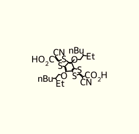 CCCCC(CC)COc1c2c(c(OCC(CC)CCCC)c3c1SC(=C(C#N)C(=O)O)S3)SC(=C(C#N)C(=O)O)S2